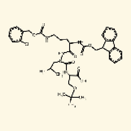 CC(C)CN(NC(=O)C(CCCNC(=O)OCc1ccccc1Cl)NC(=O)OCC1c2ccccc2-c2ccccc21)C(=O)NC(COC(C)(C)C)C(=O)O